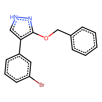 Brc1cccc(-c2c[nH]nc2OCc2ccccc2)c1